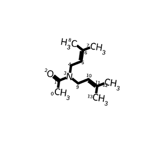 CC(=O)N(CC=C(C)C)CC=C(C)C